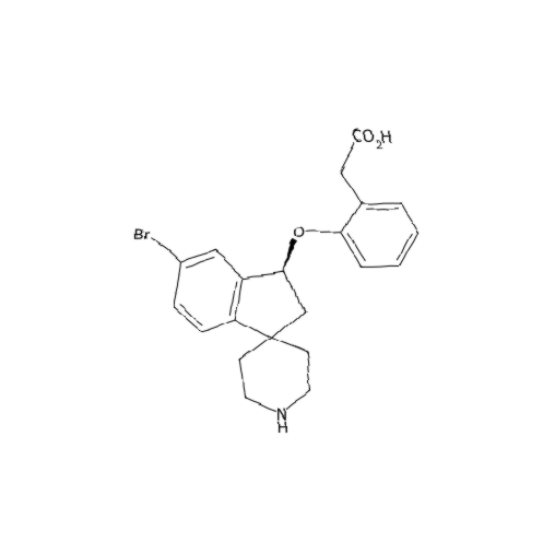 O=C(O)Cc1ccccc1O[C@H]1CC2(CCNCC2)c2ccc(Br)cc21